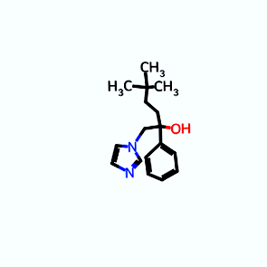 CC(C)(C)CCC(O)(Cn1ccnc1)c1ccccc1